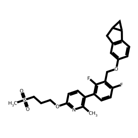 Cc1nc(OCCCS(C)(=O)=O)ccc1-c1ccc(F)c(COc2ccc3c(c2)CC2CC32)c1F